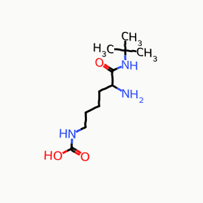 CC(C)(C)NC(=O)C(N)CCCCNC(=O)O